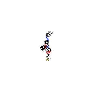 CC1(C)c2cc(OC(=O)CCCCC3CCSS3)ccc2N2Cc3cc(/N=N/c4ccc(N=O)cc4)ccc3OC21c1ccccc1